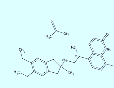 CC(=O)O.CCc1cc2c(cc1CC)CC(C)(NC[C@H](O)c1ccc(O)c3[nH]c(=O)ccc13)C2